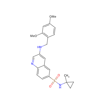 COc1ccc(CNc2cnc3ccc(S(=O)(=O)NC4(C)CC4)cc3c2)c(OC)c1